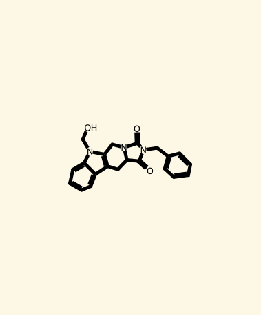 O=C1C2Cc3c(n(CO)c4ccccc34)CN2C(=O)N1Cc1ccccc1